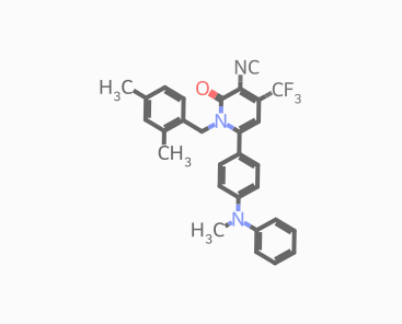 [C-]#[N+]c1c(C(F)(F)F)cc(-c2ccc(N(C)c3ccccc3)cc2)n(Cc2ccc(C)cc2C)c1=O